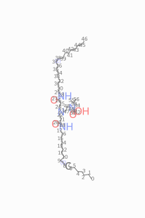 CCCCCCCC/C=C\CCCCCCCCNC(=O)CCN(CCC(=O)NCCCCCCCC/C=C\CCCCCCCC)CCN(C(=O)O)C(C)(C)C